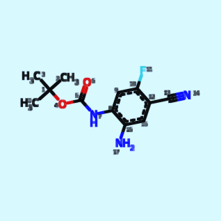 CC(C)(C)OC(=O)Nc1cc(F)c(C#N)cc1N